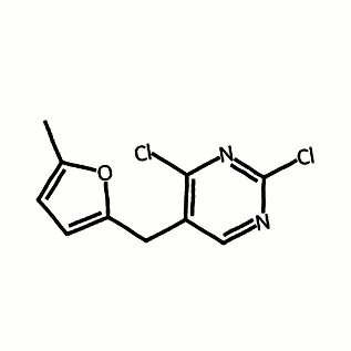 Cc1ccc(Cc2cnc(Cl)nc2Cl)o1